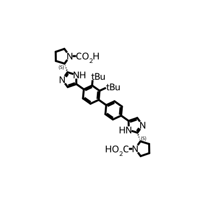 CC(C)(C)c1c(-c2ccc(-c3cnc([C@@H]4CCCN4C(=O)O)[nH]3)cc2)ccc(-c2cnc([C@@H]3CCCN3C(=O)O)[nH]2)c1C(C)(C)C